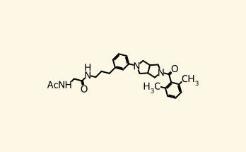 CC(=O)NCC(=O)NCCCc1cccc(N2CC3CN(C(=O)c4c(C)cccc4C)CC3C2)c1